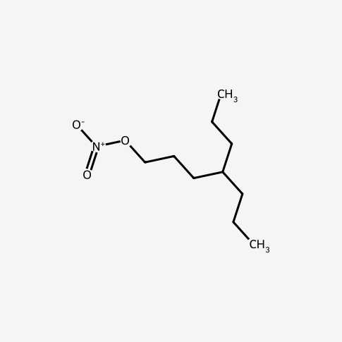 CCCC(CCC)CCCO[N+](=O)[O-]